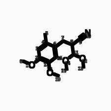 COc1cc(C)c(CC(C#N)C(OC)OC)cc1OC